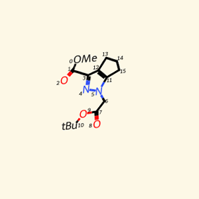 COC(=O)c1nn(CC(=O)OC(C)(C)C)c2c1CCC2